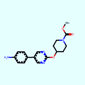 CC(C)(C)OC(=O)N1CCC(Oc2ncc(-c3ccc(N)cc3)cn2)CC1